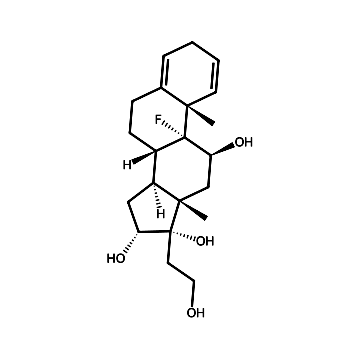 C[C@]12C=CCC=C1CC[C@H]1[C@@H]3C[C@@H](O)[C@](O)(CCO)[C@@]3(C)C[C@H](O)[C@@]12F